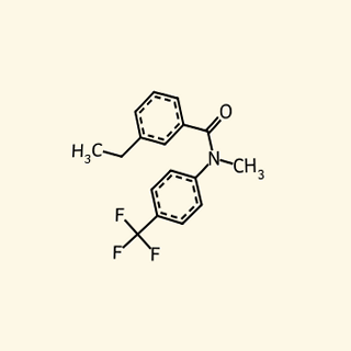 CCc1cccc(C(=O)N(C)c2ccc(C(F)(F)F)cc2)c1